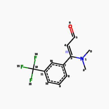 CN(C)/C(=C\C=O)c1cccc(C(F)(F)F)c1